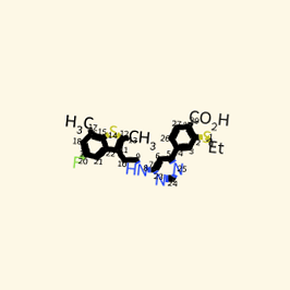 CCSc1cc(-c2cc(NCCc3c(C)sc4c(C)cc(F)cc34)ncn2)ccc1C(=O)O